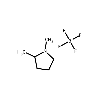 CC1CCCN1C.F[B-](F)(F)F